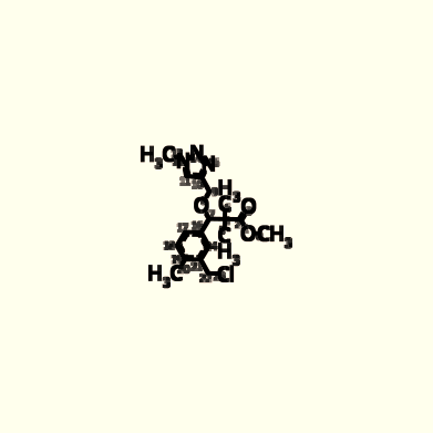 COC(=O)C(C)(C)C(OCc1cn(C)nn1)c1ccc(C)c(CCl)c1